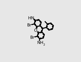 Cc1ccccc1-c1c2ccc(=N)c(Br)c-2oc2c(Br)c(N)ccc12